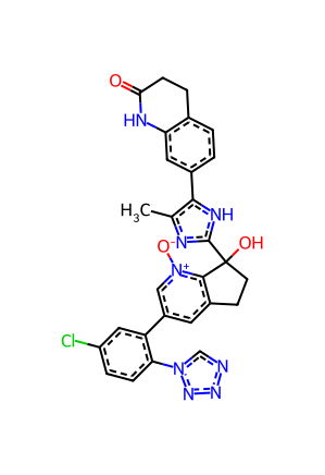 Cc1nc(C2(O)CCc3cc(-c4cc(Cl)ccc4-n4cnnn4)c[n+]([O-])c32)[nH]c1-c1ccc2c(c1)NC(=O)CC2